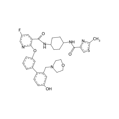 Cc1nc(C(=O)NC2CCC(NC(=O)c3cc(F)cnc3Oc3cccc(-c4ccc(O)cc4CN4CCOCC4)c3)CC2)cs1